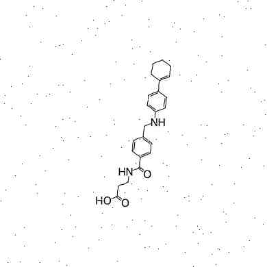 O=C(O)CCNC(=O)c1ccc(CNc2ccc(C3=CCCCC3)cc2)cc1